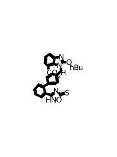 CCCCOc1nc2cccc(C(=O)O)c2n1Cc1ccc(-c2ccccc2-c2nc(=S)o[nH]2)cc1